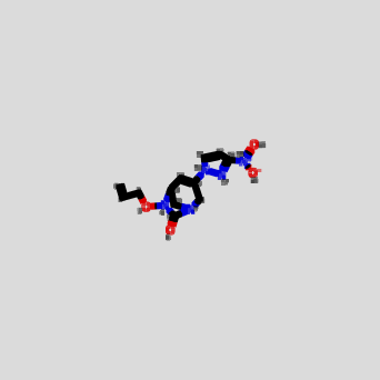 C=CCON1C(=O)N2CC(n3ccc([N+](=O)[O-])n3)=CC1C2